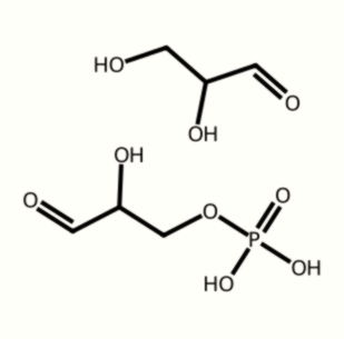 O=CC(O)CO.O=CC(O)COP(=O)(O)O